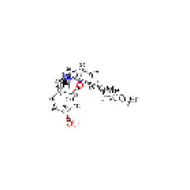 CCOC(=O)CCN1CC[C@@]23C=C[C@H](O)C[C@@H]2Oc2c(OC)ccc(c23)C1